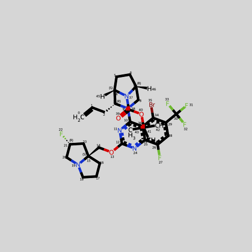 C=CC[C@@H]1[C@@H]2CC[C@H](CN1c1nc(OC[C@@]34CCCN3C[C@H](F)C4)nc3c(F)cc(C(F)(F)F)c(Br)c13)N2C(=O)OC(C)(C)C